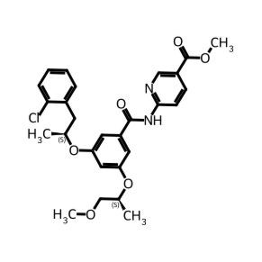 COC[C@H](C)Oc1cc(O[C@@H](C)Cc2ccccc2Cl)cc(C(=O)Nc2ccc(C(=O)OC)cn2)c1